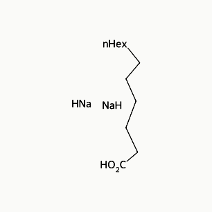 CCCCCCCCCCCC(=O)O.[NaH].[NaH]